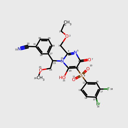 CCOCc1nc(=O)c(S(=O)(=O)c2ccc(Br)c(F)c2)c(O)n1C(COC)c1cccc(C#N)c1